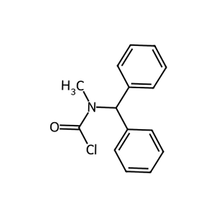 CN(C(=O)Cl)C(c1ccccc1)c1ccccc1